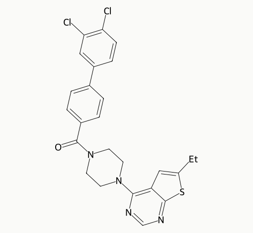 CCc1cc2c(N3CCN(C(=O)c4ccc(-c5ccc(Cl)c(Cl)c5)cc4)CC3)ncnc2s1